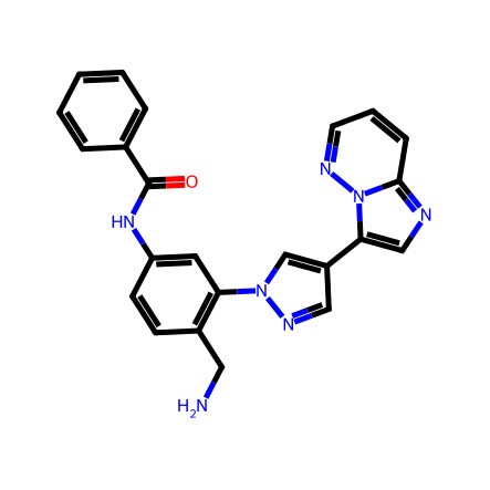 NCc1ccc(NC(=O)c2ccccc2)cc1-n1cc(-c2cnc3cccnn23)cn1